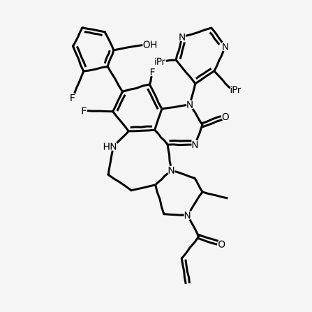 C=CC(=O)N1CC2CCNc3c(F)c(-c4c(O)cccc4F)c(F)c4c3c(nc(=O)n4-c3c(C(C)C)ncnc3C(C)C)N2CC1C